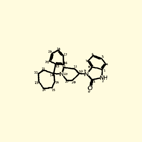 O=c1[nH]c2ccccc2n1C1CCN(C2(c3ccccc3)CCCCCC2)CC1